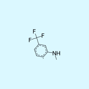 CNc1[c]ccc(C(F)(F)F)c1